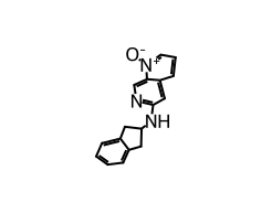 [O-][n+]1cccc2cc(NC3Cc4ccccc4C3)ncc21